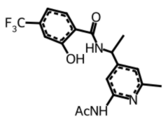 CC(=O)Nc1cc(C(C)NC(=O)c2ccc(C(F)(F)F)cc2O)cc(C)n1